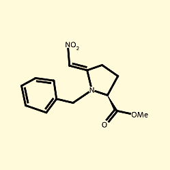 COC(=O)[C@@H]1CCC(=C[N+](=O)[O-])N1Cc1ccccc1